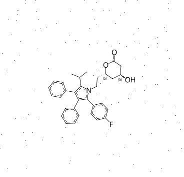 CC(C)c1c(-c2ccccc2)c(-c2ccccc2)c(-c2ccc(F)cc2)n1CC[C@H]1C[C@H](O)CC(=O)O1